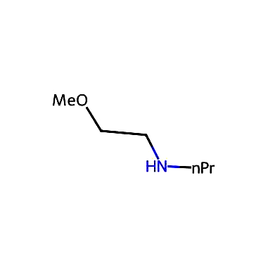 [CH2]CCNCCOC